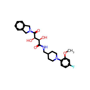 COc1cc(F)ccc1N1CCC(CNC(=O)[C@H](O)[C@@H](O)C(=O)N2Cc3ccccc3C2)CC1